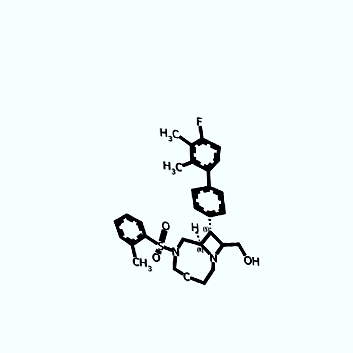 Cc1ccccc1S(=O)(=O)N1CCCCN2C(CO)[C@@H](c3ccc(-c4ccc(F)c(C)c4C)cc3)[C@@H]2C1